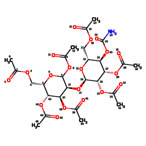 CC(=O)OC[C@@H]1OC(OC(C)=O)[C@@H](O[C@H]2O[C@H](COC(C)=O)[C@@H](OC(N)=O)[C@H](OC(C)=O)[C@@H]2OC(C)=O)[C@@H](OC(C)=O)[C@@H]1OC(C)=O